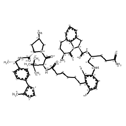 Cc1ncsc1-c1ccc([C@H](C)NC(=O)[C@@H]2C[C@@H](O)CN2C(=O)[C@@H](NC(=O)CCCCCc2c(F)ccc(NC[C@H](CCC(N)=O)NC(=O)[C@@H]3Cc4cccc5c4N3C(=O)[C@@H](N)CC5)c2F)C(C)(C)C)cc1